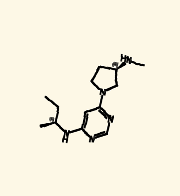 CC[C@H](C)Nc1cc(N2CC[C@@H](NC)C2)ncn1